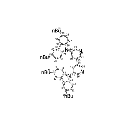 CCCCc1ccc2c(c1)c1cc(CCCC)ccc1n2-c1cncc(-c2cncc(-n3c4ccc(CCCC)cc4c4cc(CCCC)ccc43)c2)c1